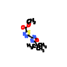 COC(=O)c1nnc(-c2noc(C(C)(C)C)n2)s1